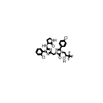 O=C1NCCC1Nc1nc(Cn2nc(-c3ccc(Cl)cc3)n(C[C@H](O)C(F)(F)F)c2=O)nn1-c1ccccc1Cl